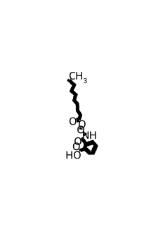 CCCCCCCCCC(=O)OONC(=O)c1ccccc1C(=O)O